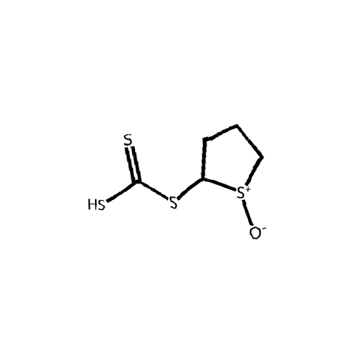 [O-][S+]1CCCC1SC(=S)S